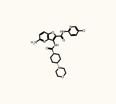 Nc1ccc2oc(C(=O)Nc3ccc(Cl)cn3)c(NC(=O)[C@H]3CC[C@H](N4CCOCC4)CC3)c2n1